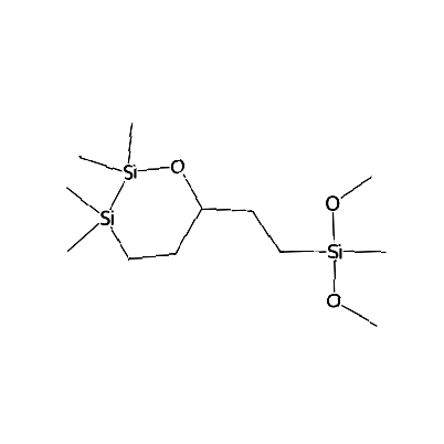 CO[Si](C)(CCC1CC[Si](C)(C)[Si](C)(C)O1)OC